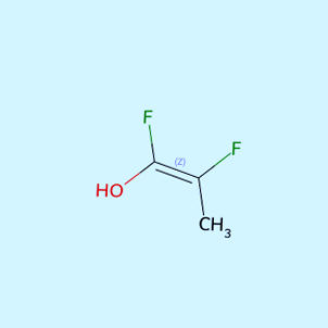 C/C(F)=C(\O)F